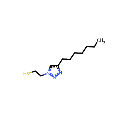 CCCCCCCc1cn(CCS)nn1